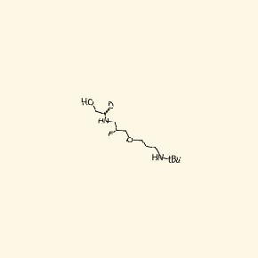 CC(C)(C)NCCCOCC(F)CNC(=O)CO